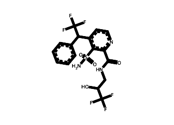 NS(=O)(=O)c1c(C(c2ccccc2)C(F)(F)F)ccnc1C(=O)NCC(O)C(F)(F)F